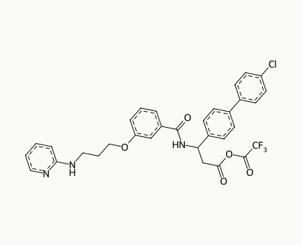 O=C(CC(NC(=O)c1cccc(OCCCNc2ccccn2)c1)c1ccc(-c2ccc(Cl)cc2)cc1)OC(=O)C(F)(F)F